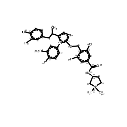 COc1cc(-n2c(C(C)Cc3ccc(Cl)c(Cl)c3)cnc2SCc2c(F)cc(C(=O)N[C@H]3CC[N+](C)(C)C3)cc2Cl)ccc1F